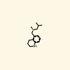 CC(C)CN(C)Cc1cccc2c1CCCN2